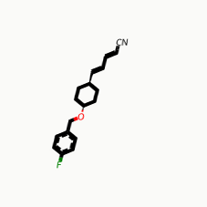 N#C/C=C/C=C/[C@H]1CC[C@H](OCc2ccc(F)cc2)CC1